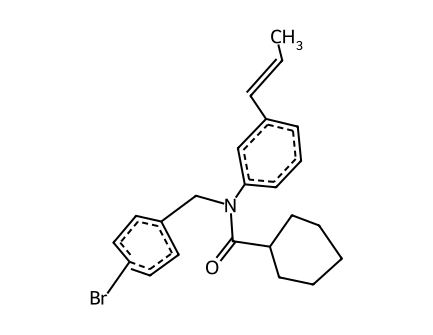 CC=Cc1cccc(N(Cc2ccc(Br)cc2)C(=O)C2CCCCC2)c1